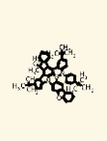 CC(C)(C)c1ccc(N2B3c4cc5c(cc4-n4c6ccc(C(C)(C)C)cc6c6c7c(c(c3c64)-c3cc(C(C)(C)C)ccc32)-c2ccccc2C7(C)C)oc2ccccc25)cc1